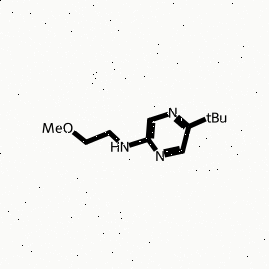 COCCNc1cnc(C(C)(C)C)cn1